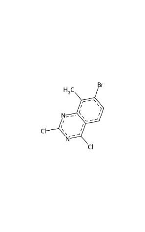 Cc1c(Br)ccc2c(Cl)nc(Cl)nc12